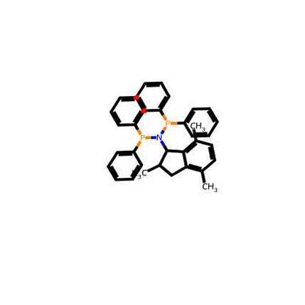 Cc1ccc(C)c2c1CC(C)C2N(P(c1ccccc1)c1ccccc1)P(c1ccccc1)c1ccccc1